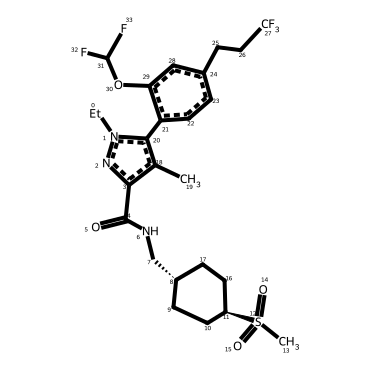 CCn1nc(C(=O)NC[C@H]2CC[C@H](S(C)(=O)=O)CC2)c(C)c1-c1ccc(CCC(F)(F)F)cc1OC(F)F